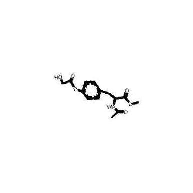 COC(=O)C(Cc1ccc(OC(=O)CO)cc1)NC(C)=O